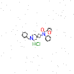 Cl.O=C(c1ccco1)N(c1ccccc1)C1CC2(CCN(Cc3ccccc3)CC2)C1